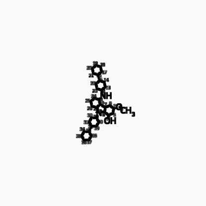 COc1cc(O)c2c(c1)c1c(Nc3ccc(-c4ccccc4)cc3)cccc1n2-c1ccc(-c2ccccc2)cc1